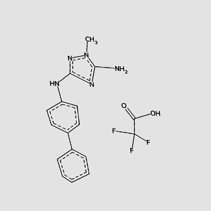 Cn1nc(Nc2ccc(-c3ccccc3)cc2)nc1N.O=C(O)C(F)(F)F